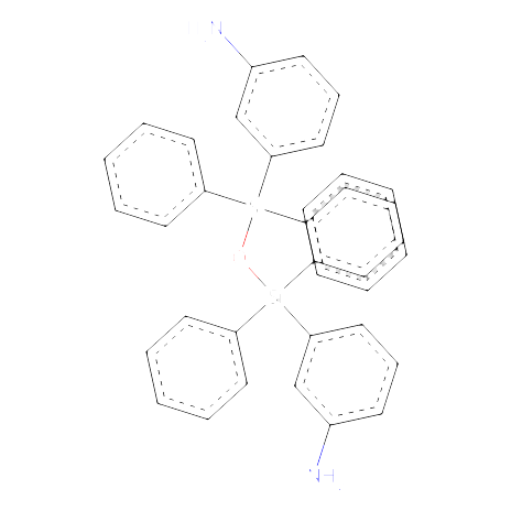 Nc1cccc([Si](O[Si](c2ccccc2)(c2ccccc2)c2cccc(N)c2)(c2ccccc2)c2ccccc2)c1